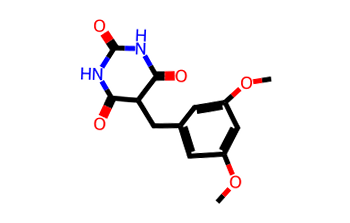 COc1cc(CC2C(=O)NC(=O)NC2=O)cc(OC)c1